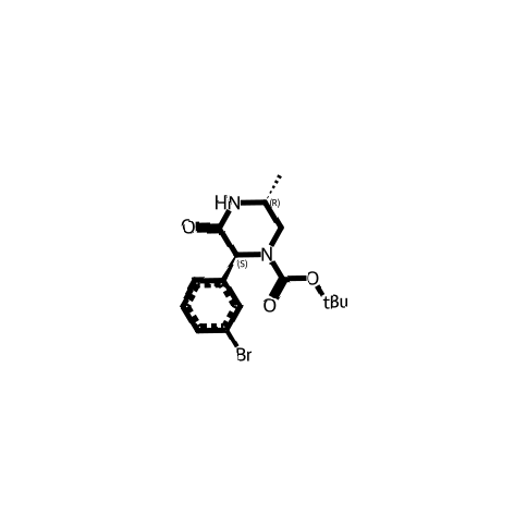 C[C@@H]1CN(C(=O)OC(C)(C)C)[C@@H](c2cccc(Br)c2)C(=O)N1